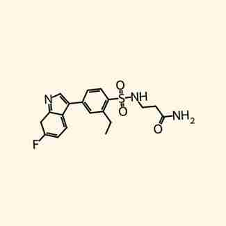 CCc1cc(C2=CN=C3CC(F)=CC=C23)ccc1S(=O)(=O)NCCC(N)=O